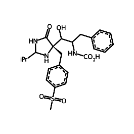 CC(C)C1NC(=O)[C@](Cc2ccc(S(C)(=O)=O)cc2)(C(O)C(Cc2ccccc2)NC(=O)O)N1